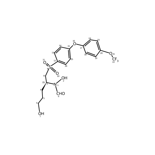 O=CN(O)[C@@H](CCCO)CS(=O)(=O)c1ccc(Oc2ccc(OC(F)(F)F)cc2)cc1